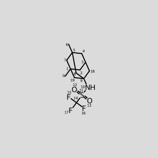 CC12CC3CC(C)(C1)CC(NS(=O)(=O)C(F)(F)F)(C3)C2